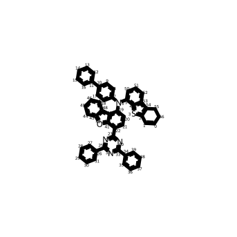 C1=Cc2sc3c(N(c4ccc(-c5ccccc5)cc4)c4ccc(-c5nc(-c6ccccc6)nc(-c6ccccc6)n5)c5oc6ccccc6c45)cccc3c2CC1